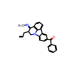 C=CCC1Cn2c3ccc(C(=O)c4ccccc4)cc3c3cccc(c32)/C1=N/OC(C)=O